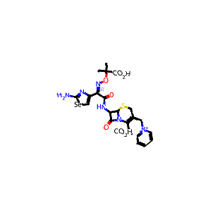 CC(C)(O/N=C(\C(=O)NC1C(=O)N2C(C(=O)O)=C(C[n+]3ccccc3)CSC12)c1c[se]c(N)n1)C(=O)O